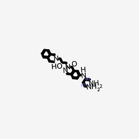 N/C=C\C(=C/N)Nc1ccc2cnn(CC(O)CN3CCc4ccccc4C3)c(=O)c2c1